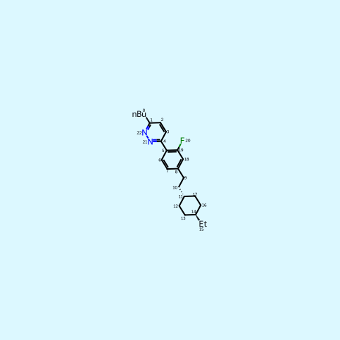 CCCCc1ccc(-c2ccc(CC[C@H]3CC[C@H](CC)CC3)cc2F)nn1